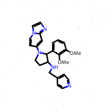 COc1cccc(C2C(NCc3ccncc3)CCN2c2ccn3ccnc3c2)c1OC